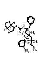 CC(C)(CCC#N)CC(N)([C@H](O)[C@H](Cc1ccccc1)NC(=O)O[C@@H]1CO[C@@H]2OCC[C@@H]21)S(=O)(=O)c1cccc(N)c1